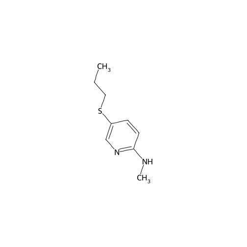 CCCSc1ccc(NC)nc1